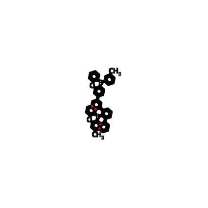 Cc1cccc(B2c3ccccc3Oc3cc(-c4cccc(-c5cccc(-c6ccccc6)c5B5c6ccccc6Oc6cc(C)ccc65)c4)ccc32)c1